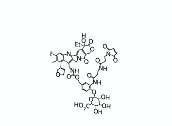 CC[C@@]1(O)C(=O)OCc2c1cc1n(c2=O)Cc2c-1nc1cc(F)c(C)c(C3=CCOC3)c1c2CNC(=O)OCc1ccc(O[C@@H]2O[C@H](C(=O)O)[C@@H](O)[C@H](O)[C@H]2O)c(NC(=O)CCNC(=O)CCN2C(=O)C=CC2=O)c1